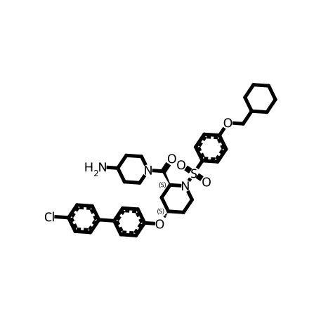 NC1CCN(C(=O)[C@@H]2C[C@@H](Oc3ccc(-c4ccc(Cl)cc4)cc3)CCN2S(=O)(=O)c2ccc(OCC3CCCCC3)cc2)CC1